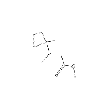 COC(=O)CC(C)C1(C)CCC1